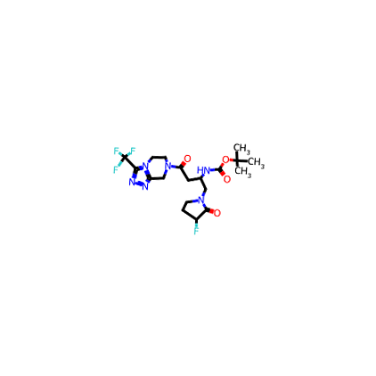 CC(C)(C)OC(=O)NC(CC(=O)N1CCn2c(nnc2C(F)(F)F)C1)CN1CCC(F)C1=O